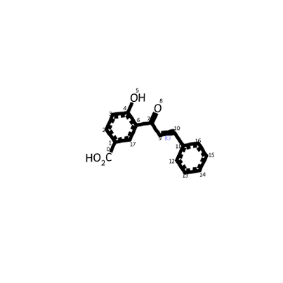 O=C(O)c1ccc(O)c(C(=O)/C=C/c2ccccc2)c1